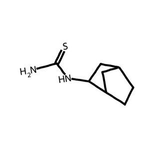 NC(=S)NC1CC2CCC1C2